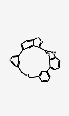 c1cc2cc(c1)-c1cccc3[nH]c(nc13)-c1n[nH]c3ccc(cc13)-c1cncc(c1)CNC2